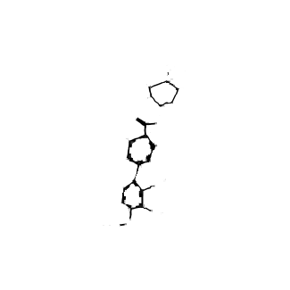 CCCCCCCCOc1ccc(-c2ccc(C(=O)O[C@H]3CC[C@H](CCCCC)CC3)cc2)c(F)c1F